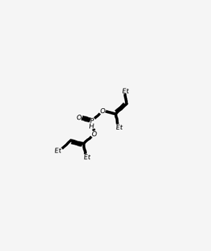 CCC=C(CC)O[PH](=O)OC(=CCC)CC